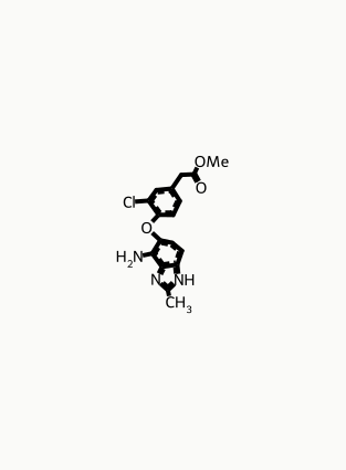 COC(=O)Cc1ccc(Oc2ccc3[nH]c(C)nc3c2N)c(Cl)c1